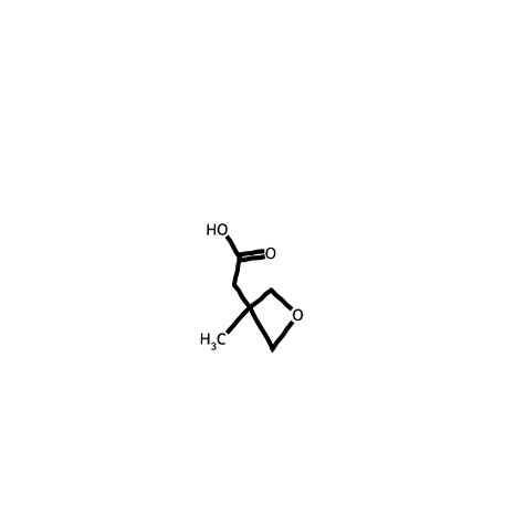 CC1(CC(=O)O)COC1